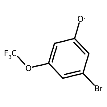 [O]c1cc(Br)cc(OC(F)(F)F)c1